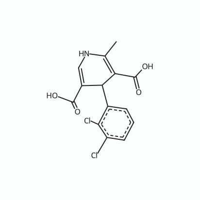 CC1=C(C(=O)O)C(c2cccc(Cl)c2Cl)C(C(=O)O)=CN1